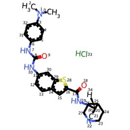 CN(C)c1ccc(NC(=O)Nc2ccc3cc(C(=O)N[C@H]4CN5CCC4CC5)sc3c2)cc1.Cl